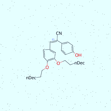 CCCCCCCCCCCCOc1ccc(/C=C(/C#N)c2ccc(O)cc2)cc1OCCCCCCCCCCCC